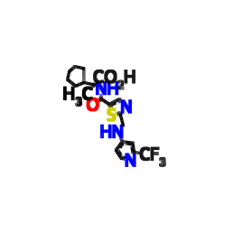 CC(NC(=O)c1cnc(CNc2ccnc(C(F)(F)F)c2)s1)(C(=O)O)C1CCCCC1